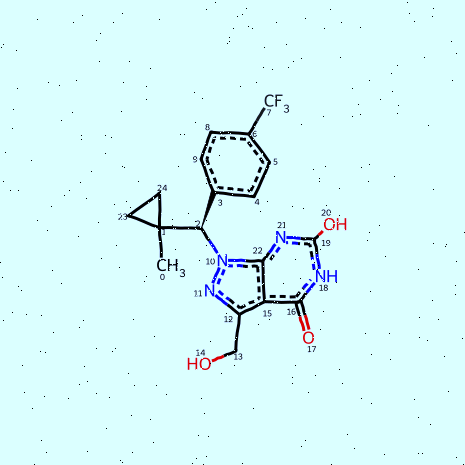 CC1([C@@H](c2ccc(C(F)(F)F)cc2)n2nc(CO)c3c(=O)[nH]c(O)nc32)CC1